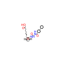 O=C(CO)CCCC=CC[C@@H]1[C@H](CNC(=O)CNC(=O)c2ccc(-c3ccccc3)cc2)[C@@H]2CC[C@H]1O2